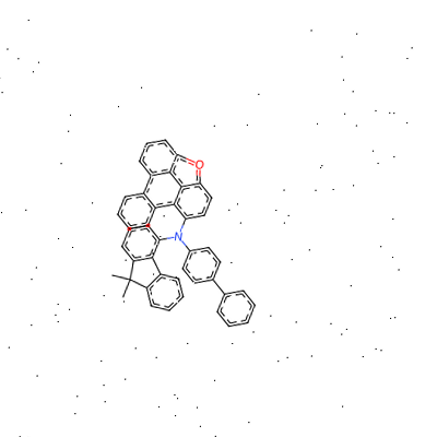 CC1(C)c2ccccc2-c2c(N(c3ccc(-c4ccccc4)cc3)c3ccc4oc5cccc6c7ccccc7c3c4c56)cccc21